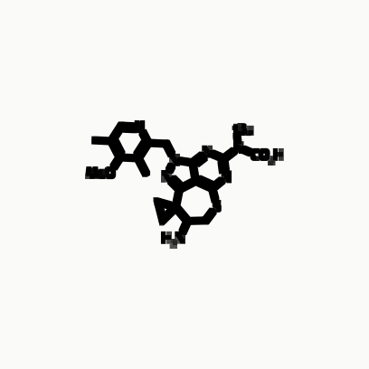 COc1c(C)cnc(Cn2nc3c4c(nc(N(C(=O)O)C(C)(C)C)nc42)SCC(N)C32CC2)c1C